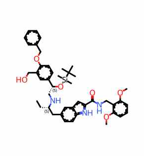 CC[C@@H](Cc1ccc2[nH]c(C(=O)NCc3c(OC)cccc3OC)cc2c1)NC[C@@H](O[Si](C)(C)C(C)(C)C)c1ccc(OCc2ccccc2)c(CO)c1